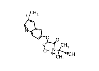 C#CC(C)(C)NC(=O)C(Oc1ccc2ncc(OC)cc2c1)SC